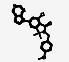 COc1ccc(CN2C(=O)c3c(Cl)cc(-n4ccc5cncnc54)cc3C2(C)C)cc1